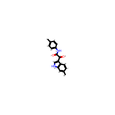 Cc1ccc(NC(=O)C(=O)c2c[nH]c3cc(C)ccc23)cc1